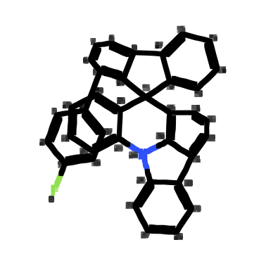 Fc1ccc(-c2cccc3c2C2(c4ccccc4-3)c3ccccc3-n3c4ccccc4c4cccc2c43)cc1